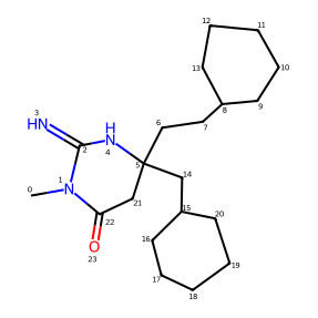 CN1C(=N)NC(CCC2CCCCC2)(CC2CCCCC2)CC1=O